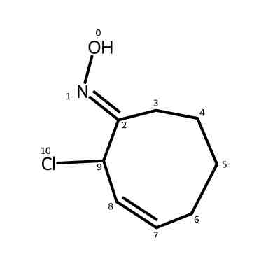 ON=C1CCCCC=CC1Cl